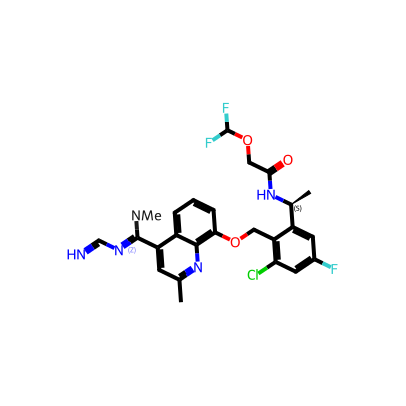 CN/C(=N\C=N)c1cc(C)nc2c(OCc3c(Cl)cc(F)cc3[C@H](C)NC(=O)COC(F)F)cccc12